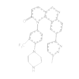 Cc1ccc(-c2ccc3ncc4ccc(=O)n(-c5ccc(N6CCNCC6)c(C(F)(F)F)c5)c4c3c2)nn1